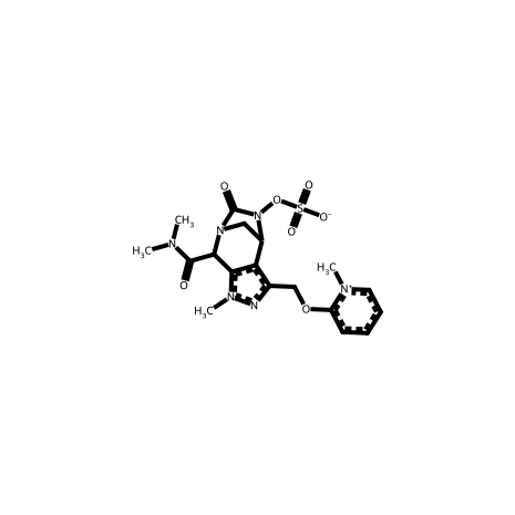 CN(C)C(=O)C1c2c(c(COc3cccc[n+]3C)nn2C)C2CN1C(=O)N2OS(=O)(=O)[O-]